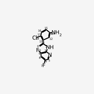 C=C(Nc1ncc(F)cc1F)c1cc(N)ccc1Cl